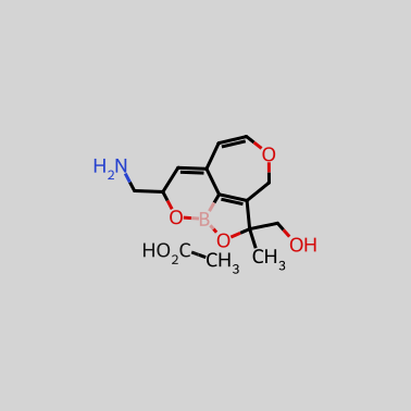 CC(=O)O.CC1(CO)OB2OC(CN)C=C3C=COCC1=C23